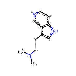 CN(C)CCc1c[nH]c2ccncc12